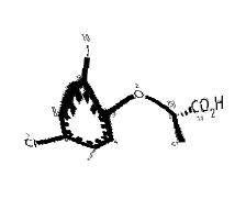 C[C@H](Oc1ccc(Cl)cc1I)C(=O)O